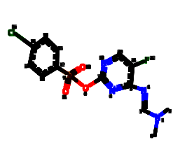 CN(C)/C=N/c1nc(OS(=O)(=O)c2ccc(Cl)cc2)ncc1F